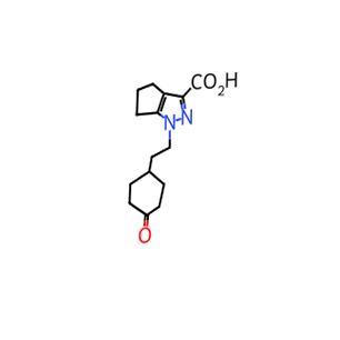 O=C1CCC(CCn2nc(C(=O)O)c3c2CCC3)CC1